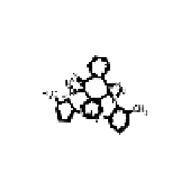 CC1=CC=CC(C)[C@@H]1n1nnc2c1-c1ccccc1-c1c(nnn1-c1c(C)cccc1C)-c1ccccc1-2